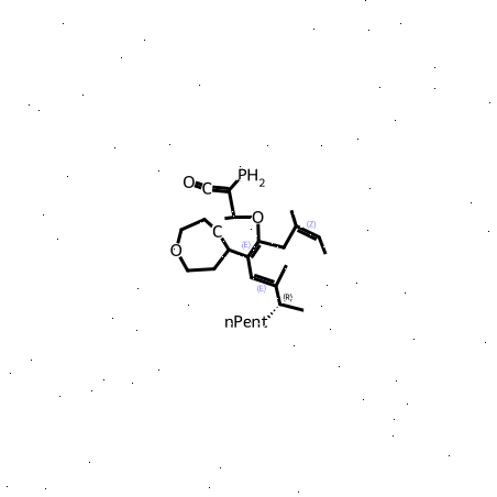 C/C=C(/C)C/C(OC(C)C(P)=C=O)=C(\C=C(/C)[C@H](C)CCCCC)C1CCCOCC1